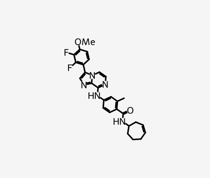 COc1ccc(-c2cnc3c(Nc4ccc(C(=O)NC5CC=CCCC5)c(C)c4)nccn23)c(F)c1F